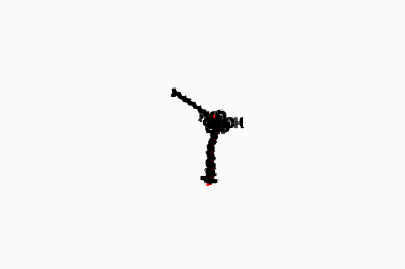 CC(C)CCCCCCCCCCCCCCCOC(CC(=O)O)(C(=O)O)C(CCCCCCCCCCCCCCCC(C)C)(CCCCCCCCCCCCCCCC(C)C)C(=O)O